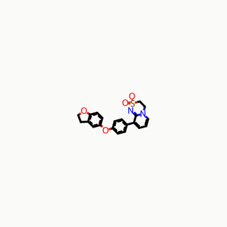 O=S1(=O)CCN2C=CC=C(c3ccc(Oc4ccc5c(c4)CCO5)cc3)C2=N1